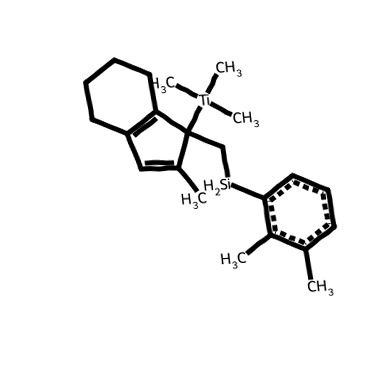 CC1=CC2=C(CCCC2)[C]1(C[SiH2]c1cccc(C)c1C)[Ti]([CH3])([CH3])[CH3]